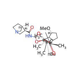 CCCC[C@]1(C)C[C@@H](OC(=O)NC(=O)[C@H]2CN3CC[C@@H]2C3)[C@@]2(C)C3[C@H](OC)CCC3(CC[C@H]2C)[C@@H](C)C1=O